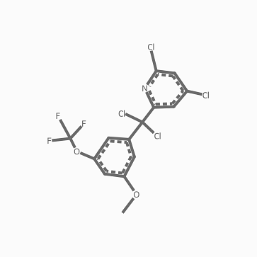 COc1cc(OC(F)(F)F)cc(C(Cl)(Cl)c2cc(Cl)cc(Cl)n2)c1